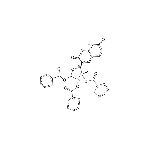 C[C@@]1(OC(=O)c2ccccc2)[C@H](OC(=O)c2ccccc2)C(OC(=O)c2ccccc2)O[C@H]1n1cc2ccc(=O)[nH]c2nc1=O